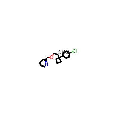 O=CC(COCc1ccccn1)C1(c2ccc(Cl)cc2)CCC1